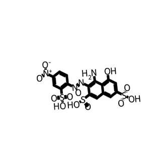 Nc1c(N=Nc2ccc([N+](=O)[O-])cc2S(=O)(=O)O)c(S(=O)(=O)O)cc2cc(S(=O)(=O)O)cc(O)c12